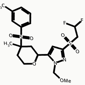 COCn1nc(S(=O)(=O)CC(F)F)cc1C1CC(C)(S(=O)(=O)c2cccc(C)c2)CCO1